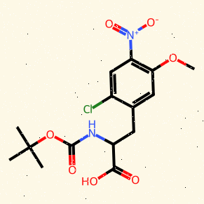 COc1cc(CC(NC(=O)OC(C)(C)C)C(=O)O)c(Cl)cc1[N+](=O)[O-]